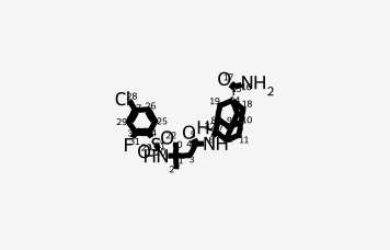 CC(C)(CC(=O)N[C@H]1C2CC3CC1C[C@](C(N)=O)(C3)C2)NS(=O)(=O)c1ccc(Cl)cc1F